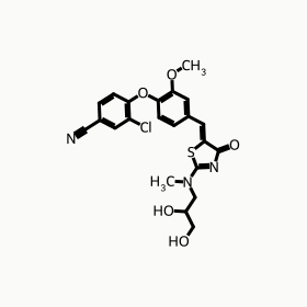 COc1cc(/C=C2\SC(N(C)CC(O)CO)=NC2=O)ccc1Oc1ccc(C#N)cc1Cl